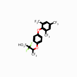 O=S(=O)(O)C(F)(F)C(Oc1ccc(Oc2c(C(F)(F)F)cc(C(F)(F)F)cc2C(F)(F)F)cc1)C(F)(F)F